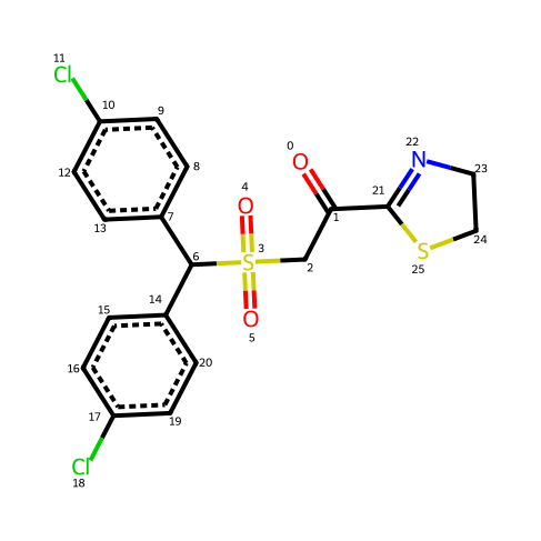 O=C(CS(=O)(=O)C(c1ccc(Cl)cc1)c1ccc(Cl)cc1)C1=NCCS1